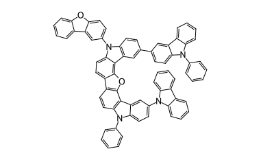 c1ccc(-n2c3ccccc3c3cc(-c4ccc5c(c4)c4c6oc7c(ccc8c7c7cc(-n9c%10ccccc%10c%10ccccc%109)ccc7n8-c7ccccc7)c6ccc4n5-c4ccc5oc6ccccc6c5c4)ccc32)cc1